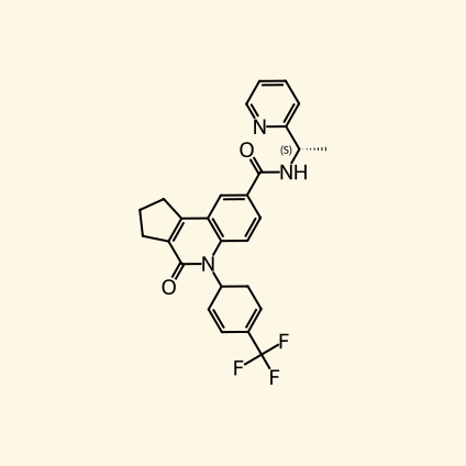 C[C@H](NC(=O)c1ccc2c(c1)c1c(c(=O)n2C2C=CC(C(F)(F)F)=CC2)CCC1)c1ccccn1